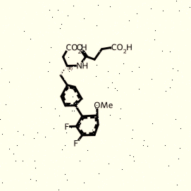 COc1ccc(F)c(F)c1-c1ccc(C[C@H](CC(=O)O)NC(=O)CCC(=O)O)cc1